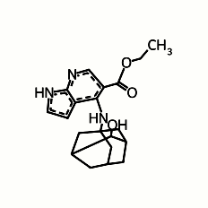 CCOC(=O)c1cnc2[nH]ccc2c1NC12CC3CC(C1)C(O)C(C3)C2